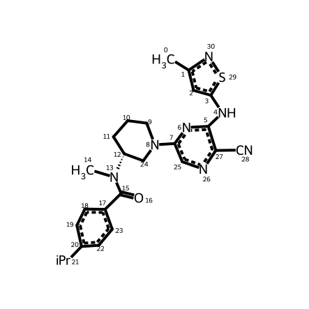 Cc1cc(Nc2nc(N3CCC[C@@H](N(C)C(=O)c4ccc(C(C)C)cc4)C3)cnc2C#N)sn1